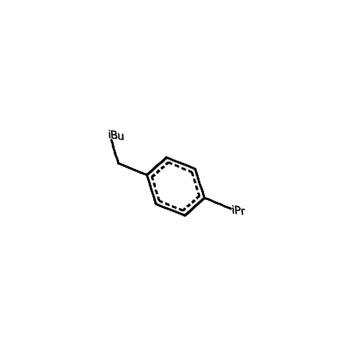 CCC(C)Cc1ccc(C(C)C)cc1